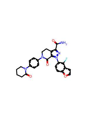 NC(=O)c1nn(-c2ccc3occc3c2F)c2c1CCN(c1ccc(N3CCCCC3=O)cc1)C2=O